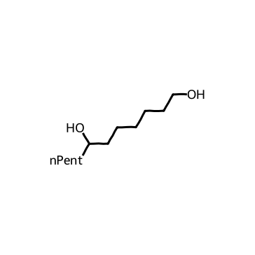 CCCCCC(O)CCCCCCO